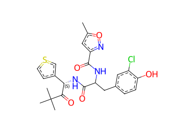 Cc1cc(C(=O)NC(Cc2ccc(O)c(Cl)c2)C(=O)N[C@H](C(=O)C(C)(C)C)c2ccsc2)no1